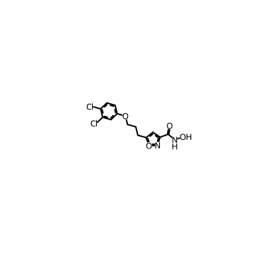 O=C(NO)c1cc(CCCOc2ccc(Cl)c(Cl)c2)on1